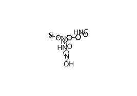 C=CC(=O)Nc1cccc(-c2ccc3c(c2)c(C(=O)NC2CCN(CCO)CC2)nn3COCC[Si](C)(C)C)c1